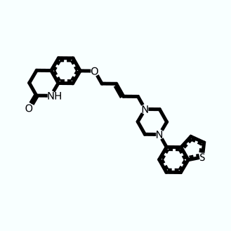 O=C1CCc2ccc(OCC=CCN3CCN(c4cccc5sccc45)CC3)cc2N1